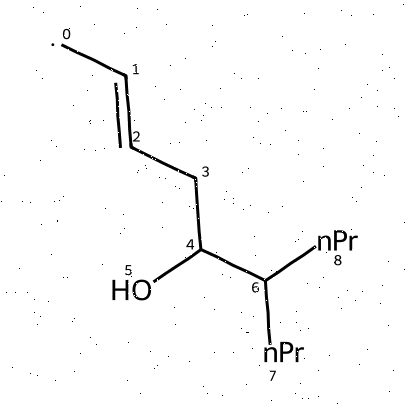 [CH2]C=CCC(O)C(CCC)CCC